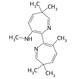 CNC1=C(C2=C(C)C=CC(C)(C)C=N2)N=CC(C)(C)C=C1